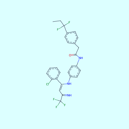 CCC(F)(F)c1ccc(CC(=O)Nc2ccc(N/C(=C\C(=N)C(F)(F)F)c3ccccc3Cl)cc2)cc1